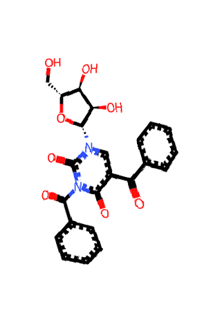 O=C(c1ccccc1)c1cn([C@@H]2O[C@H](CO)[C@@H](O)[C@H]2O)c(=O)n(C(=O)c2ccccc2)c1=O